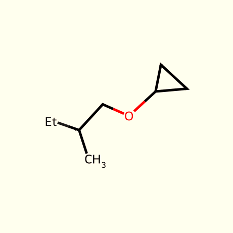 CC[C](C)COC1CC1